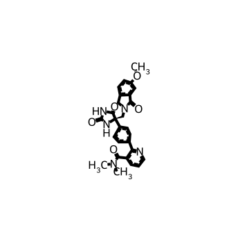 COc1ccc2c(c1)C(=O)N(C[C@@]1(c3ccc(-c4ncccc4C(=O)N(C)C)cc3)NC(=O)NC1=O)C2